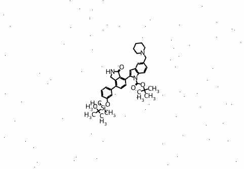 CC(C)(C)OC(=O)n1c(-c2ccc(-c3cccc(O[Si](C)(C)C(C)(C)C)c3)c3c2C(=O)NC3)cc2cc(CN3CCCCC3)ccc21